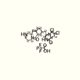 O=C(O)C(F)(F)F.O=C(c1cc(Cc2c[nH]c(=O)c3cc(Cl)c(Cl)n23)ccc1F)N1CCCNCC1